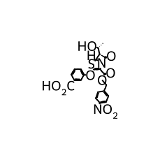 C[C@@H](O)[C@H]1C(=O)N2C(C(=O)OCc3ccc([N+](=O)[O-])cc3)=C(Oc3cccc(C(=O)O)c3)S[C@H]12